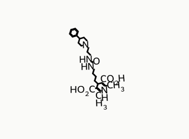 CC1=C(C(=O)O)C(CCCCNC(=O)NCCCN2CCC(c3ccccc3)CC2)C(C(=O)O)=C(C)N1